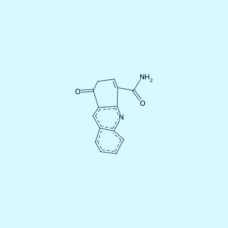 NC(=O)C1=CCC(=O)c2cc3ccccc3nc21